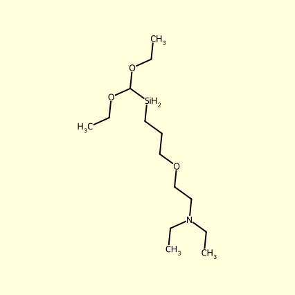 CCOC(OCC)[SiH2]CCCOCCN(CC)CC